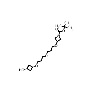 CC(C)(C)OC(=O)N1CC(OCCCOCCCO[C@H]2C[C@H](O)C2)C1